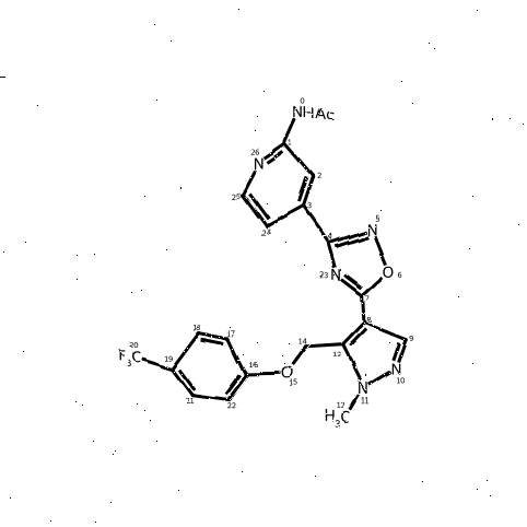 CC(=O)Nc1cc(-c2noc(-c3cnn(C)c3COc3ccc(C(F)(F)F)cc3)n2)ccn1